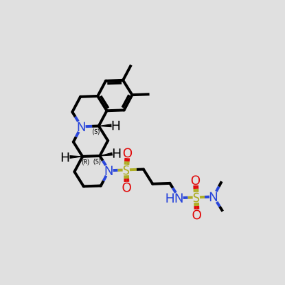 Cc1cc2c(cc1C)[C@@H]1C[C@H]3[C@H](CCCN3S(=O)(=O)CCCNS(=O)(=O)N(C)C)CN1CC2